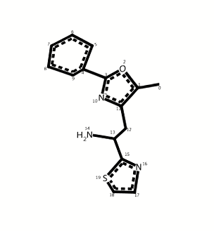 Cc1oc(-c2ccccc2)nc1CC(N)c1nccs1